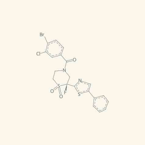 O=C(c1ccc(Br)c(Cl)c1)N1CCS(=O)(=O)[C@@](F)(c2ncc(-c3ccccc3)s2)C1